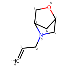 [CH]=CCN1CC2CC1CO2